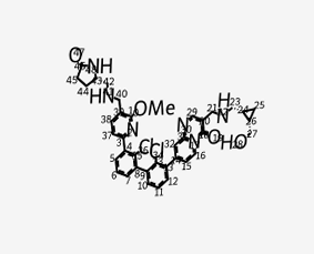 COc1nc(-c2cccc(-c3cccc(-c4ccn5c(=O)c(CNC[C@@H]6C[C@@H]6CO)cnc5c4)c3Cl)c2Cl)ccc1CNC[C@@H]1CCC(=O)N1